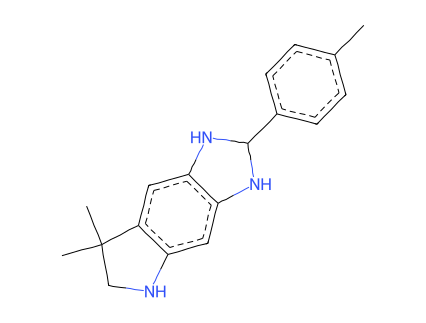 Cc1ccc(C2Nc3cc4c(cc3N2)C(C)(C)CN4)cc1